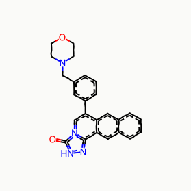 O=c1[nH]nc2c3cc4ccccc4cc3c(-c3cccc(CN4CCOCC4)c3)cn12